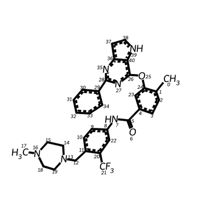 Cc1ccc(C(=O)Nc2ccc(CN3CCN(C)CC3)c(C(F)(F)F)c2)cc1Oc1nc(-c2ccccc2)nc2cc[nH]c12